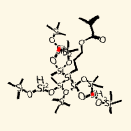 C=C(C)C(=O)OCCC[Si]([Si](C)(O[SiH2]O[Si](C)(C)C)O[Si](C)(C)C)([Si](C)(O[SiH2]O[Si](C)(C)C)O[Si](C)(C)C)[Si](C)(O[SiH2]O[Si](C)(C)C)O[Si](C)(C)C